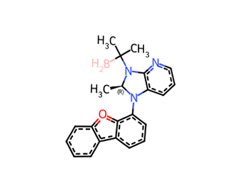 BC(C)(C)N1c2ncccc2N(c2cccc3c2oc2ccccc23)[C@H]1C